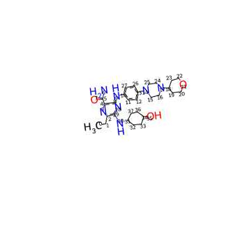 CCc1nc(C(N)=O)c(Nc2ccc(N3CCN(C4CCOCC4)CC3)cc2)nc1N[C@H]1CC[C@H](O)CC1